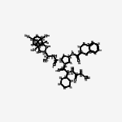 CC[C@H](NC(=O)[C@@H]1C[C@@H](OC(=O)N2CCc3ccccc3C2)CN1C(=O)[C@@H](NC(=O)NC(C)(C)C)C1CCCCC1)B1O[C@@H]2C[C@@H]3C[C@@H](C3(C)C)[C@]2(C)O1